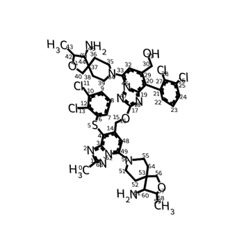 Cc1nc2c(Sc3cccc(Cl)c3Cl)c(COc3nc4c(-c5cccc(Cl)c5Cl)c(CO)cc(N5CCC6(CC5)COC(C)[C@H]6N)n4n3)cc(N3CCC4(CC3)COC(C)C4N)n2n1